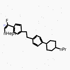 CCCCCCC/C=C(/F)c1ccc(CCc2ccc(C3CCC(CCC)CC3)cc2)cc1